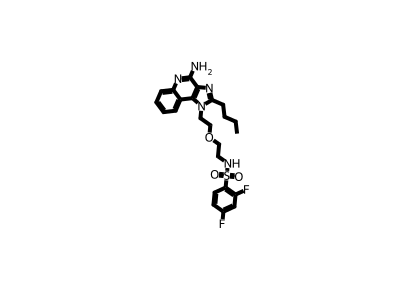 CCCCc1nc2c(N)nc3ccccc3c2n1CCOCCNS(=O)(=O)c1ccc(F)cc1F